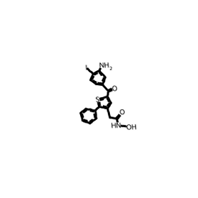 Nc1cc(C(=O)c2cc(CC(=O)NO)c(-c3ccccc3)s2)ccc1I